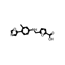 Cc1cc(NCc2ccc(C(=O)O)o2)ccc1-c1cnco1